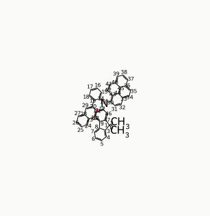 CC1(C)c2ccccc2-c2ccc(N(c3ccccc3-c3ccc4ccccc4c3)c3ccc4ccc5cccc6ccc3c4c56)cc21